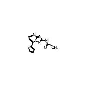 CCC(=O)Nc1nc2nccc(-c3cccs3)n2n1